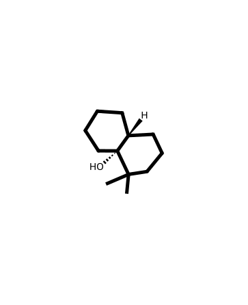 CC1(C)CCC[C@H]2CCCC[C@@]21O